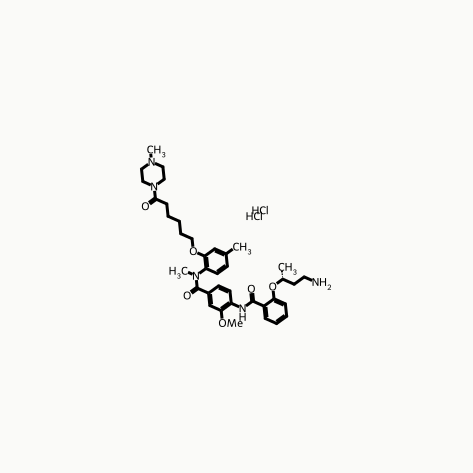 COc1cc(C(=O)N(C)c2ccc(C)cc2OCCCCCC(=O)N2CCN(C)CC2)ccc1NC(=O)c1ccccc1O[C@H](C)CCN.Cl.Cl